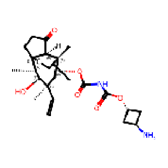 C=C[C@]1(C)C[C@@H](OC(=O)NC(=O)O[C@H]2C[C@H](N)C2)[C@]2(C)C(C)CC[C@]3(CCC(=O)[C@H]32)[C@@H](C)[C@@H]1O